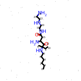 CCCCCCNC(C)(CC)C(=O)[C@@H](N)CC(=O)NCCNCCN